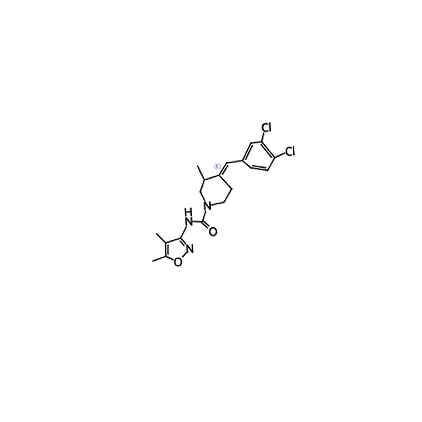 Cc1onc(NC(=O)N2CC/C(=C\c3ccc(Cl)c(Cl)c3)C(C)C2)c1C